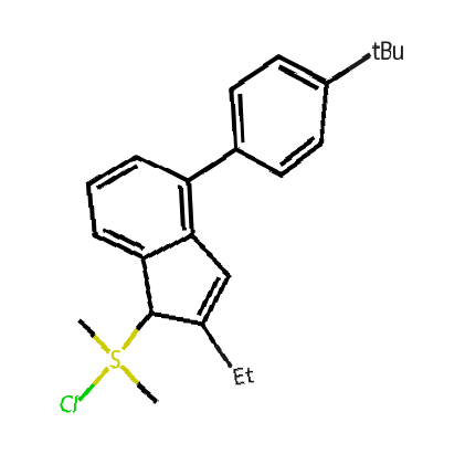 CCC1=Cc2c(-c3ccc(C(C)(C)C)cc3)cccc2C1S(C)(C)Cl